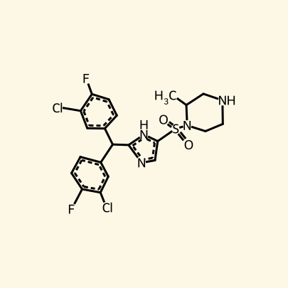 CC1CNCCN1S(=O)(=O)c1cnc(C(c2ccc(F)c(Cl)c2)c2ccc(F)c(Cl)c2)[nH]1